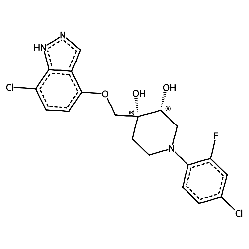 O[C@@H]1CN(c2ccc(Cl)cc2F)CC[C@@]1(O)COc1ccc(Cl)c2[nH]ncc12